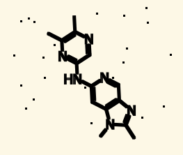 Cc1ncc(Nc2cc3c(cn2)nc(C)n3C)nc1C